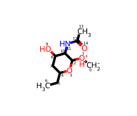 [CH2-][OH+]C1OC(CC)CC(O)C1NC(C)=O